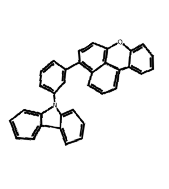 c1cc(-c2ccc3c4c(cccc24)-c2ccccc2O3)cc(-n2c3ccccc3c3ccccc32)c1